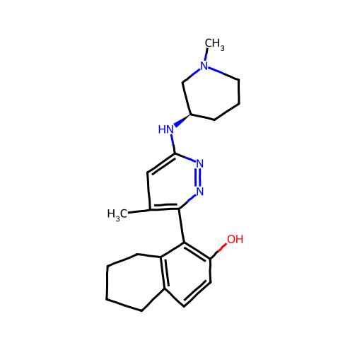 Cc1cc(N[C@@H]2CCCN(C)C2)nnc1-c1c(O)ccc2c1CCCC2